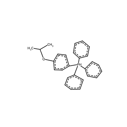 CC(C)Oc1ccc([PH](c2ccccc2)(c2ccccc2)c2ccccc2)cc1